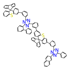 c1ccc(-c2nc(-c3cccc(-c4ccc5c(c4)Sc4cc(-c6cccc(-c7nc(-c8cccc(-c9ccc%10c(c9)Sc9ccccc9C%109c%10ccccc%10-c%10ccccc%109)c8)nc(-c8ccccc8-c8ccccc8)n7)c6)ccc4C54c5ccccc5-c5ccccc54)c3)nc(-c3ccc4ccccc4c3)n2)cc1